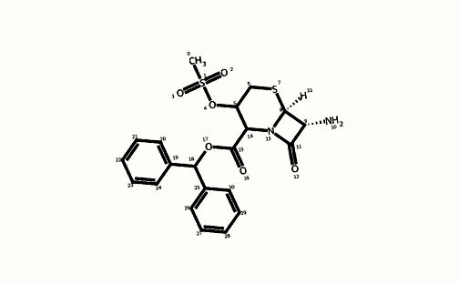 CS(=O)(=O)OC1CS[C@H]2[C@H](N)C(=O)N2C1C(=O)OC(c1ccccc1)c1ccccc1